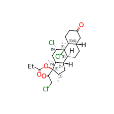 CCC(=O)O[C@]1(C(=O)CCl)[C@@H](C)C[C@H]2[C@@H]3CC[C@H]4CC(=O)CC[C@]4(C)[C@@]3(Cl)[C@@H](Cl)C[C@@]21C